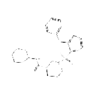 O=C(NC1CCCCC1)[C@H]1CCCN(S(=O)(=O)c2ccccc2Oc2ccccc2)C1